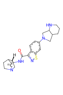 O=C(N[C@@H]1CN2CCC1CC2)c1nsc2cc(N3CC4CCCNC4C3)ccc12